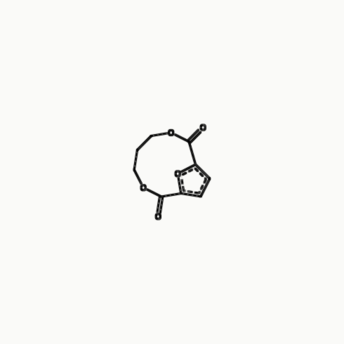 O=C1OCCCOC(=O)c2ccc1o2